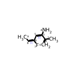 C=C(C)/C(N)=C\C(F)=C/C